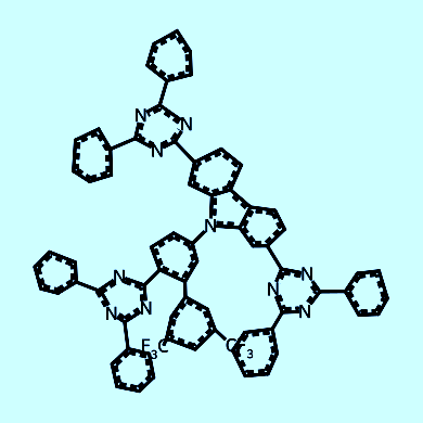 FC(F)(F)c1cc(-c2cc(-n3c4cc(-c5nc(-c6ccccc6)nc(-c6ccccc6)n5)ccc4c4ccc(-c5nc(-c6ccccc6)nc(-c6ccccc6)n5)cc43)ccc2-c2nc(-c3ccccc3)nc(-c3ccccc3)n2)cc(C(F)(F)F)c1